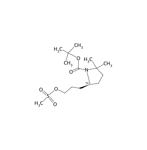 CC(C)(C)OC(=O)N1[C@H](CCCOS(C)(=O)=O)CCC1(C)C